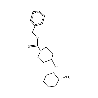 N[C@@H]1CCCC[C@@H]1NC1CCN(C(=O)OCc2ccccc2)CC1